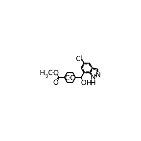 COC(=O)C12CCC(C(O)c3cc(Cl)cc4cn[nH]c34)(CC1)CC2